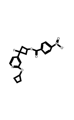 O=C(OC1CC(F)(c2ccnc(OC3CCC3)c2)C1)c1ccc([N+](=O)[O-])cc1